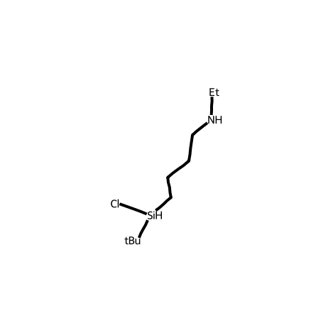 CCNCCCC[SiH](Cl)C(C)(C)C